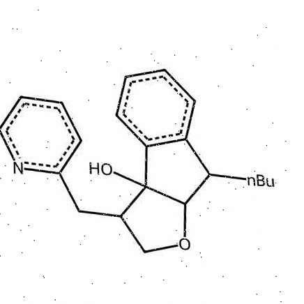 CCCCC1c2ccccc2C2(O)C(Cc3ccccn3)COC12